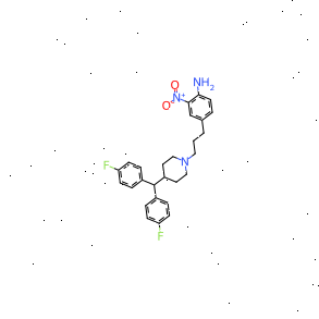 Nc1ccc(CCCN2CCC(C(c3ccc(F)cc3)c3ccc(F)cc3)CC2)cc1[N+](=O)[O-]